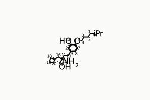 CC(C)CCCCOc1ccc(CCC(N)(CO)CC2CCC2)cc1O